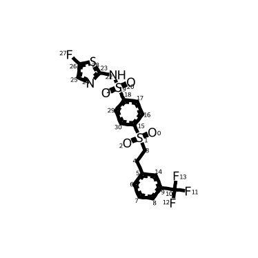 O=S(=O)(CCc1cccc(C(F)(F)F)c1)c1ccc(S(=O)(=O)Nc2ncc(F)s2)cc1